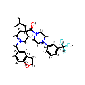 CC(C)CC1(C(=O)N2CCN(c3cccc(C(F)(F)F)c3)CC2)CCN(Cc2ccc3c(c2)CCO3)CC1